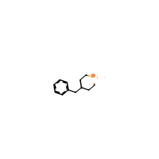 O=P1(O)CCC(Cc2ccccc2)CC1